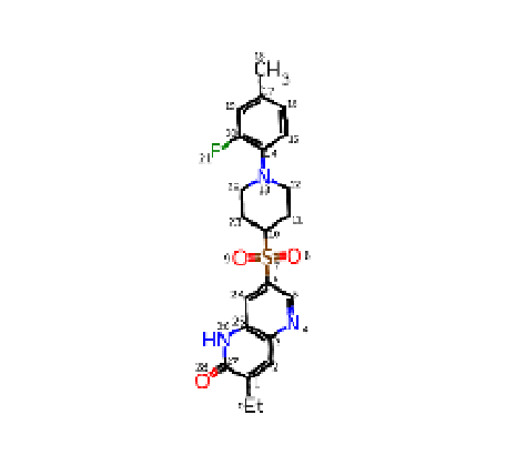 CCc1cc2ncc(S(=O)(=O)C3CCN(c4ccc(C)cc4F)CC3)cc2[nH]c1=O